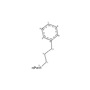 CCCCCCCCc1[c]cccc1